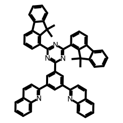 CC1(C)c2ccccc2-c2cccc(-c3nc(-c4cc(-c5ccc6ccccc6n5)cc(-c5ccc6ccccc6n5)c4)nc(-c4cccc5c4C(C)(C)c4ccccc4-5)n3)c21